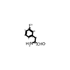 N[C@H]([C]=O)Cc1cccc(F)c1